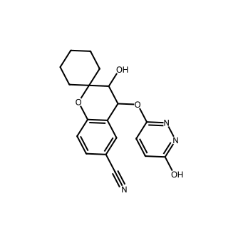 N#Cc1ccc2c(c1)C(Oc1ccc(O)nn1)C(O)C1(CCCCC1)O2